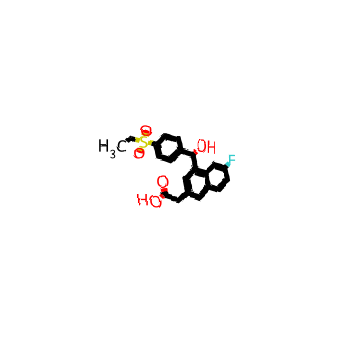 CCS(=O)(=O)c1ccc(C(O)c2cc(CC(=O)O)cc3ccc(F)cc23)cc1